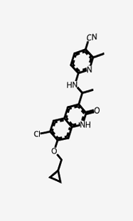 Cc1nc(NC(C)c2cc3cc(Cl)c(OCC4CC4)cc3[nH]c2=O)ccc1C#N